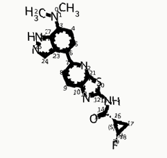 CN(C)c1ccc(-c2ccc3nc(NC(=O)[C@@H]4C[C@@H]4F)sc3n2)c2cn[nH]c12